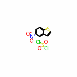 O=S(=O)(Cl)Cl.O=[N+]([O-])c1ccc2sccc2c1